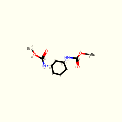 CCCCOC(=O)N[C@@H]1CCC[C@H](NC(=O)OC(C)(C)C)C1